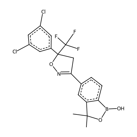 CC1(C)OB(O)c2ccc(C3=NOC(c4cc(Cl)cc(Cl)c4)(C(F)(F)F)C3)cc21